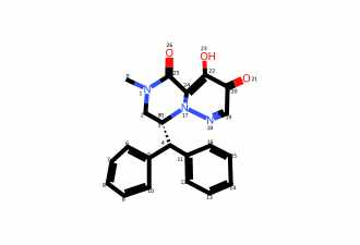 CN1C[C@@H](C(c2ccccc2)c2ccccc2)n2ncc(=O)c(O)c2C1=O